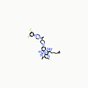 C=C(/N=c1\[nH]c2ccc(N3CCC(C(=C)N4CCN(c5cc(F)cc(F)c5)CC4)CC3)cc2n1C)c1cc(C)nc(-c2cnn(C)c2CCCC2CC2)c1